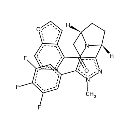 Cn1nc2c(c1-c1cc(F)c(F)c(F)c1)C[C@@H]1CC[C@H]2N1C(=O)c1nccc2occc12